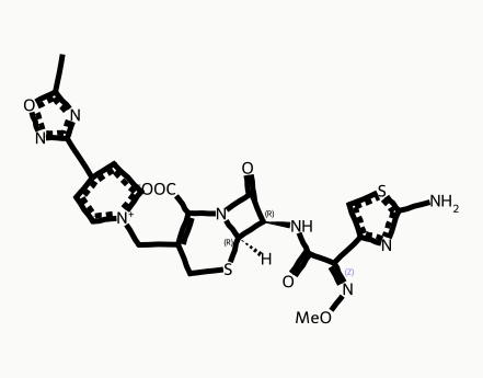 CO/N=C(\C(=O)N[C@@H]1C(=O)N2C(C(=O)[O-])=C(C[n+]3ccc(-c4noc(C)n4)cc3)CS[C@H]12)c1csc(N)n1